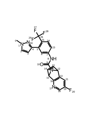 Cn1ccc(-c2cc(NC(=O)N3C4C=CC3c3ncc(F)cc34)ccc2C(F)(F)F)n1